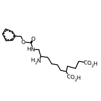 NC(CCCCC(CCCC(=O)O)C(=O)O)CNC(=O)OCc1ccccc1